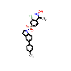 C=C(NO)c1ccc(S(=O)(=O)N2CCc3cc(-c4ccc(C(F)(F)F)cc4)ccc32)cc1Cl